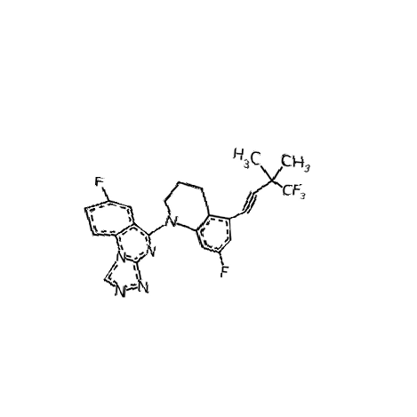 CC(C)(C#Cc1cc(F)cc2c1CCCN2c1nc2nncn2c2ccc(F)cc12)C(F)(F)F